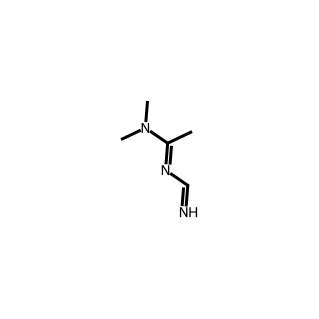 C/C(=N\C=N)N(C)C